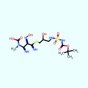 CN(C(=N)/C(=N/O)C(=N)SCC(O)CNS(=O)(=O)NC(=O)OC(C)(C)C)C(=O)O